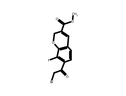 COC(=O)C1=Cc2ccc(C(=O)CBr)c(F)c2OC1